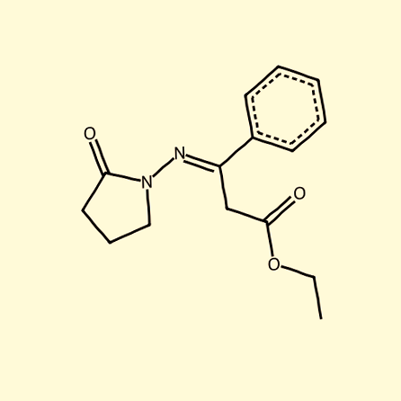 CCOC(=O)C/C(=N\N1CCCC1=O)c1ccccc1